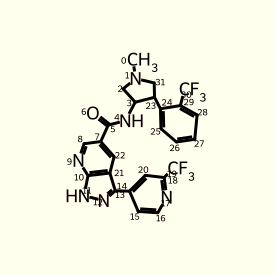 CN1CC(NC(=O)c2cnc3[nH]nc(-c4ccnc(C(F)(F)F)c4)c3c2)C(c2ccccc2C(F)(F)F)C1